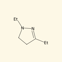 CCC1=NN(CC)CC1